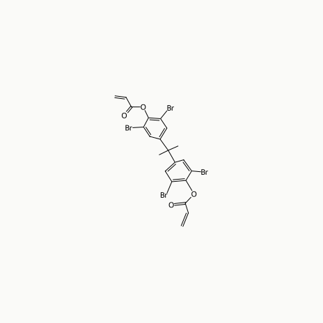 C=CC(=O)Oc1c(Br)cc(C(C)(C)c2cc(Br)c(OC(=O)C=C)c(Br)c2)cc1Br